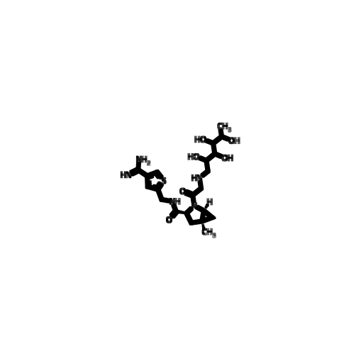 CC(O)C(O)C(O)C(O)CNCC(=O)N1[C@H]2C[C@@]2(C)C[C@H]1C(=O)NCc1cc(C(=N)N)cs1